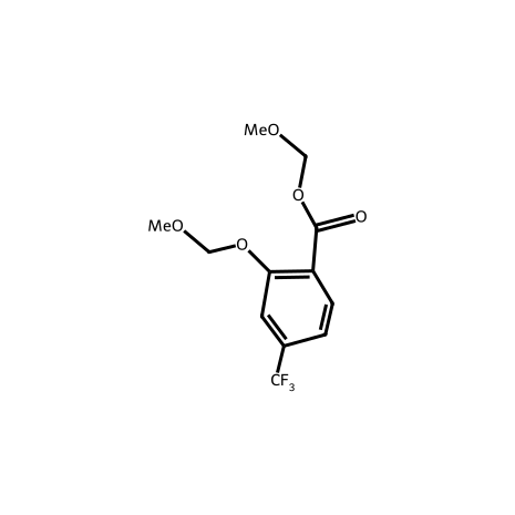 COCOC(=O)c1ccc(C(F)(F)F)cc1OCOC